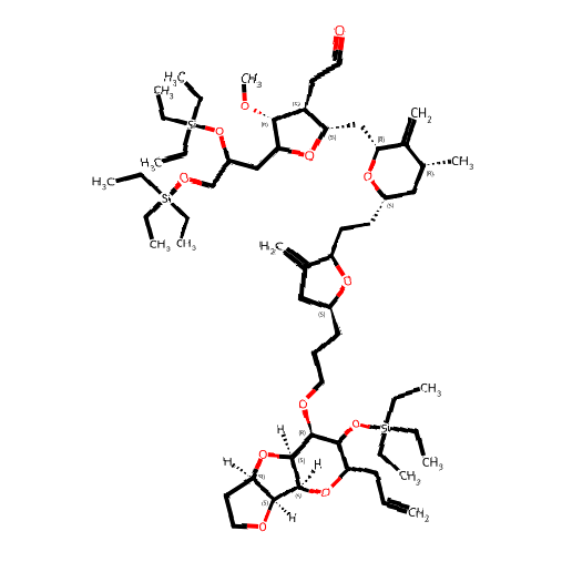 C=CCC1O[C@H]2[C@H]3OCC[C@H]3O[C@H]2[C@@H](OCCC[C@H]2CC(=C)C(CC[C@H]3C[C@@H](C)C(=C)[C@@H](C[C@@H]4OC(CC(CO[Si](CC)(CC)CC)O[Si](CC)(CC)CC)[C@H](OC)[C@H]4CC=O)O3)O2)C1O[Si](CC)(CC)CC